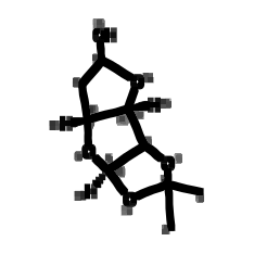 CC1(C)OC2[C@H](O[C@@H]3CC(O)O[C@H]23)O1